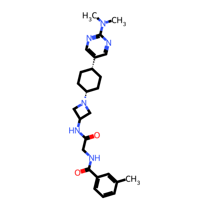 Cc1cccc(C(=O)NCC(=O)NC2CN([C@H]3CC[C@@H](c4cnc(N(C)C)nc4)CC3)C2)c1